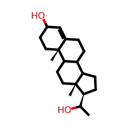 CC(O)[C@@H]1CCC2C3CCC4=CC(O)CC[C@@]4(C)C3CC[C@]21C